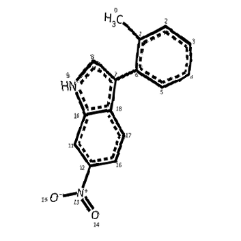 Cc1ccccc1-c1c[nH]c2cc([N+](=O)[O-])ccc12